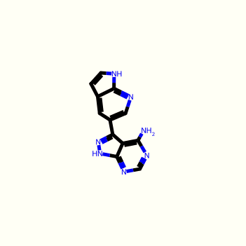 Nc1ncnc2[nH]nc(-c3cnc4[nH]ccc4c3)c12